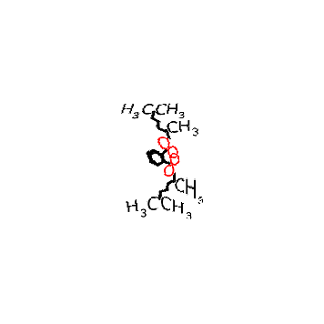 CC(C)CCCC(C)COC(=O)c1ccccc1C(=O)OCC(C)CCCC(C)C